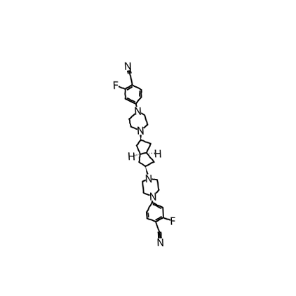 N#Cc1ccc(N2CCN([C@H]3C[C@H]4C[C@@H](N5CCN(c6ccc(C#N)c(F)c6)CC5)C[C@H]4C3)CC2)cc1F